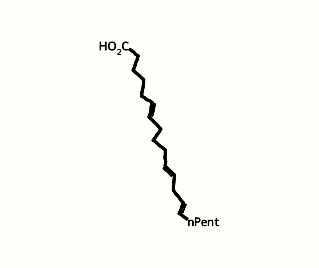 CCCCC/C=C/C/C=C/CCC/C=C/CCCCC(=O)O